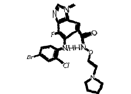 Cn1cnc2c(F)c(Nc3ccc(Br)cc3Cl)c(C(=O)NOCCN3CCCC3)cc21